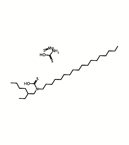 CCCCCCCCCCCCCCCCCCN(CC(CC)CCCC)C(O)=S.NC(O)=S.[S]=[Mo]